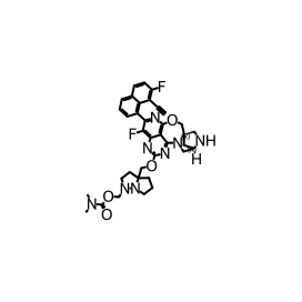 C#Cc1c(F)ccc2cccc(-c3nc4c5c(nc(OCC67CCCN6N(COC(=O)N(C)C)CC7)nc5c3F)N3C[C@H]5C[C@@]3(CN5)CO4)c12